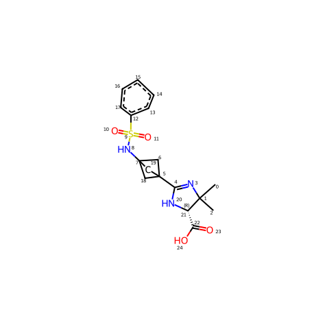 CC1(C)N=C(C23CC(NS(=O)(=O)c4ccccc4)(C2)C3)N[C@H]1C(=O)O